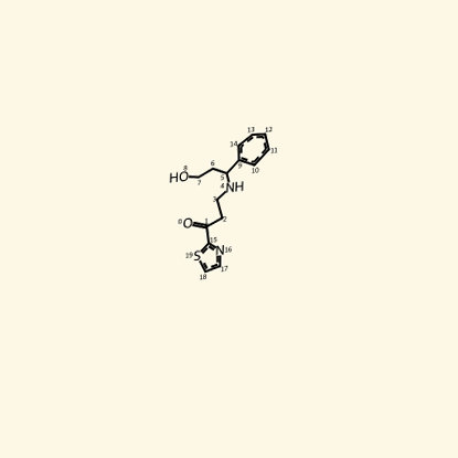 O=C(CCNC(CCO)c1ccccc1)c1nccs1